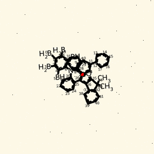 Bc1c(B)c(B)c(N(c2ccc(-c3ccccc3)cc2)c2ccccc2-c2c(-c3ccccc3)oc3c2-c2ccccc2C3(C)C)c(B)c1B